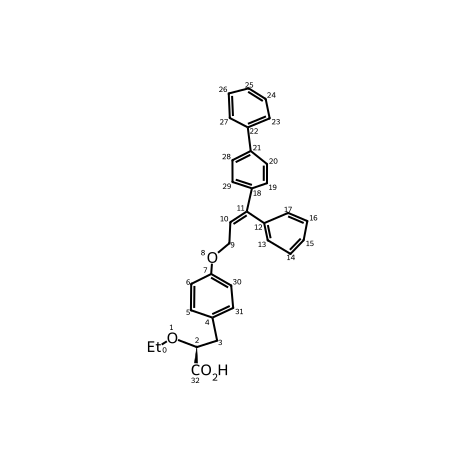 CCO[C@@H](Cc1ccc(OC/C=C(\c2ccccc2)c2ccc(-c3ccccc3)cc2)cc1)C(=O)O